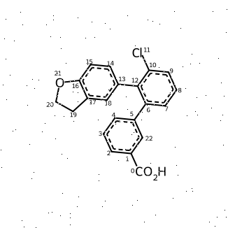 O=C(O)c1cccc(-c2cccc(Cl)c2-c2ccc3c(c2)CCO3)c1